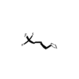 FC(F)(F)CC=CCl